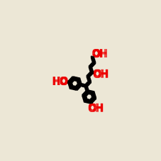 OCCCC(O)CCC(c1ccc(O)cc1)c1ccc(O)cc1